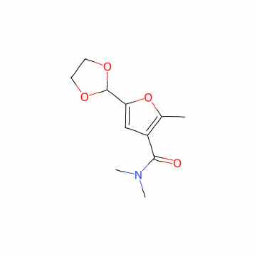 Cc1oc(C2OCCO2)cc1C(=O)N(C)C